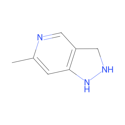 Cc1cc2c(cn1)CNN2